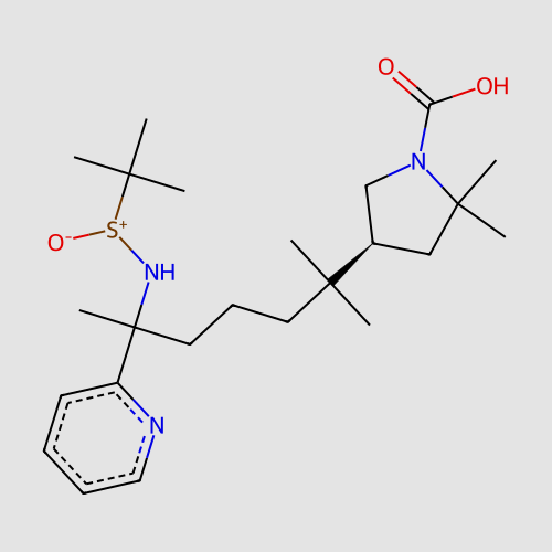 CC(CCCC(C)(C)[C@H]1CN(C(=O)O)C(C)(C)C1)(N[S+]([O-])C(C)(C)C)c1ccccn1